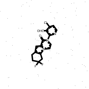 O=Cc1c(Cl)ccnc1-n1ccn2c3c(cc2c1=O)CCC(F)(F)C3